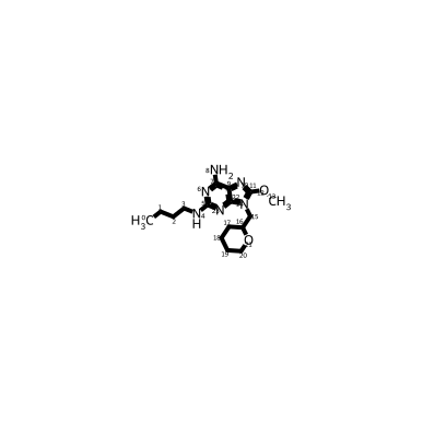 CCCCNc1nc(N)c2nc(OC)n(CC3CCCCO3)c2n1